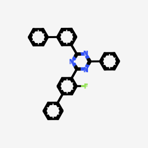 Fc1cc(-c2ccccc2)ccc1-c1nc(-c2ccccc2)nc(-c2cccc(-c3ccccc3)c2)n1